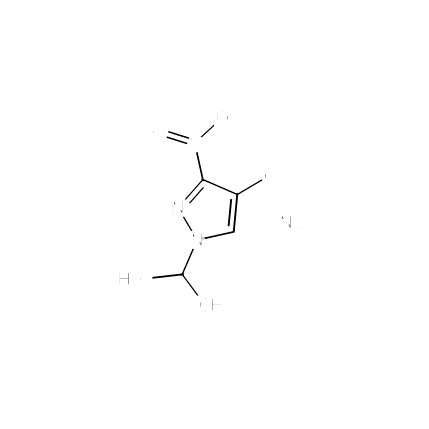 CC(C)n1cc(Cl)c(S(=O)[O-])n1.[Na+]